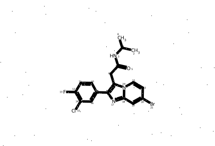 CC(C)NC(=O)Cc1c(-c2ccc(F)c(Cl)c2)nc2cc(Br)ccn12